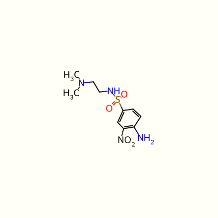 CN(C)CCNS(=O)(=O)c1ccc(N)c([N+](=O)[O-])c1